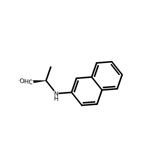 C[C@H]([C]=O)Nc1ccc2ccccc2c1